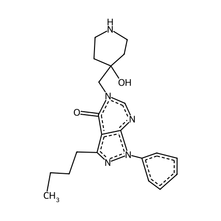 CCCCc1nn(-c2ccccc2)c2ncn(CC3(O)CCNCC3)c(=O)c12